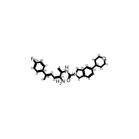 C=C(NC(=O)N1Cc2ccc(C3CCOCC3)cc2C1)/C(N)=C\C=C(/C)c1ccc(F)cc1